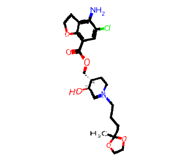 CC1(CCCN2CC[C@@H](COC(=O)c3cc(Cl)c(N)c4c3OCC4)[C@H](O)C2)OCCO1